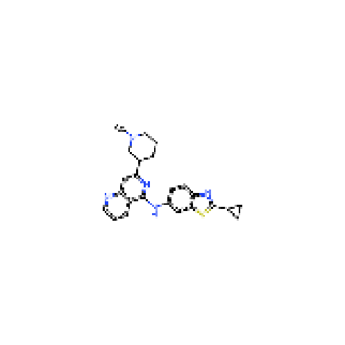 CC(=O)N1CCCC(c2cc3ncccc3c(Nc3ccc4nc(C5CC5)sc4c3)n2)C1